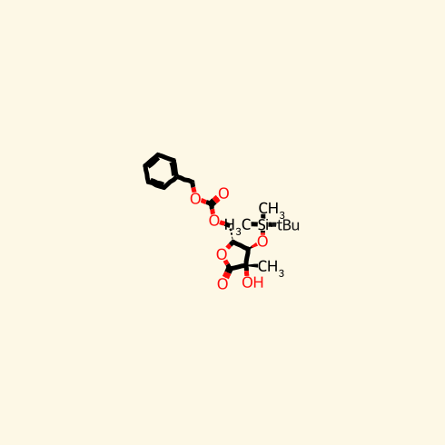 CC(C)(C)[Si](C)(C)O[C@@H]1[C@@H](COC(=O)OCc2ccccc2)OC(=O)[C@@]1(C)O